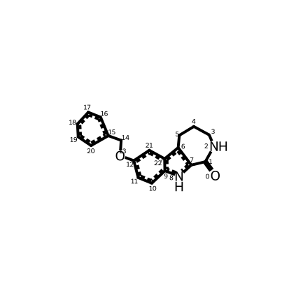 O=C1NCCCc2c1[nH]c1ccc(OCc3ccccc3)cc21